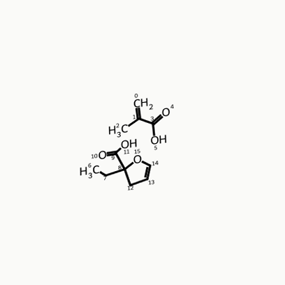 C=C(C)C(=O)O.CCC1(C(=O)O)CC=CO1